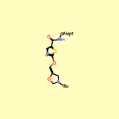 CCCCCCCNC(=O)c1cnc(OC=C2CN(C(C)(C)C)CO2)s1